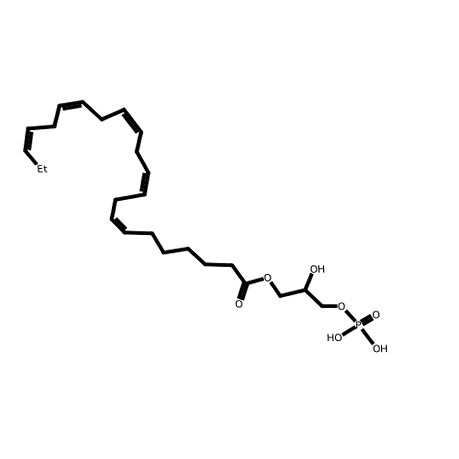 CC/C=C\C/C=C\C/C=C\C/C=C\C/C=C\CCCCCC(=O)OCC(O)COP(=O)(O)O